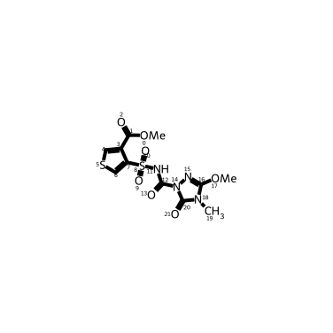 COC(=O)c1cscc1S(=O)(=O)NC(=O)n1nc(OC)n(C)c1=O